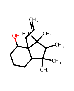 C=CCC12C(O)CCCC1C(C)(C)C(C)C2(C)C